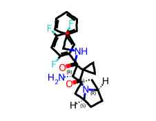 N[C@H](Cc1cc(F)c(F)cc1F)[C@@H]1C[C@H]2CC[C@@H](C1)N2C(=O)C1(C(=O)NCc2ccccc2)CC1